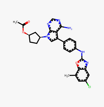 CC(=O)O[C@@H]1CC[C@H](n2cc(-c3ccc(Nc4nc5cc(Cl)cc(C)c5o4)cc3)c3c(N)ncnc32)C1